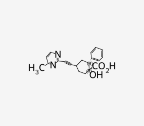 Cc1ccnc(C#CC2CC[C@](O)(C(=O)O)[C@@H](c3ccccc3)C2)n1